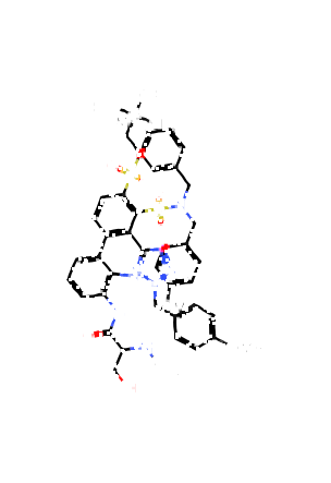 COc1ccc(CN(Cc2ccc(OC)cc2)S(=O)(=O)c2c(S(=O)(=O)CC[Si](C)(C)C)ccc(-c3cccc(NC(=O)C(CO)NC(=O)O)c3N)c2-c2nnn(Cc3ccc(OC)cc3)n2)cc1